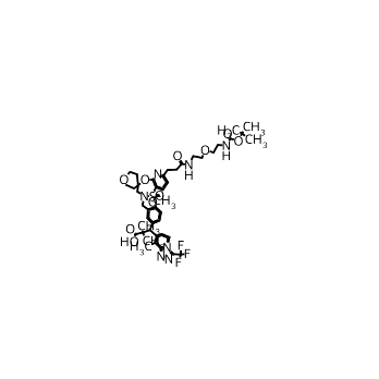 Cc1ccc(C(c2ccn3c(C(F)(F)F)nnc3c2C)C(C)(C)C(=O)O)cc1CN1CC2(CCOCC2)Oc2nc(CCC(=O)NCCOCCNC(=O)OC(C)(C)C)ccc2S1(=O)=O